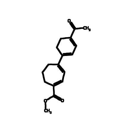 COC(=O)C1=CC=C(C2=CC=C(C(C)=O)CC2)CCC1